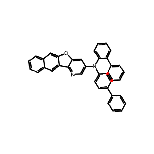 c1ccc(-c2ccc(N(c3cnc4c(c3)oc3cc5ccccc5cc34)c3ccccc3-c3ccccc3)cc2)cc1